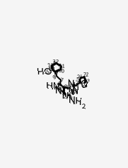 Nc1nc2n[nH]c(CCc3ccccc3O)c2c2nc(-c3ccco3)nn12